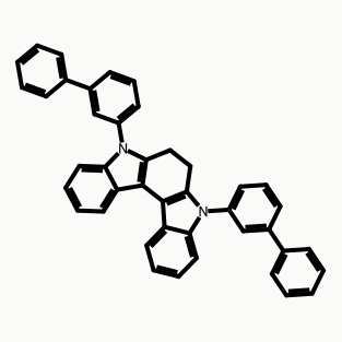 c1ccc(-c2cccc(-n3c4c(c5ccccc53)-c3c(n(-c5cccc(-c6ccccc6)c5)c5ccccc35)CC4)c2)cc1